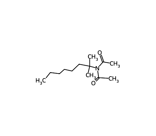 CCCCCCC(C)(C)N(C(C)=O)C(C)=O